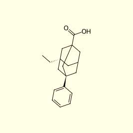 CC[C@@]12CC3CC(C(=O)O)(C1)C[C@](c1ccccc1)(C3)C2